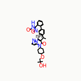 CCCc1c(C(C)c2ccc(-c3ccccc3-c3noc(=O)[nH]3)cc2)c(=O)n(C2CCC(OCC(C)(C)O)CC2)c2ccnn12